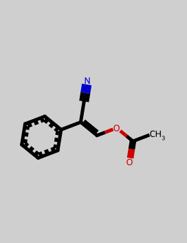 CC(=O)O/C=C(\C#N)c1ccccc1